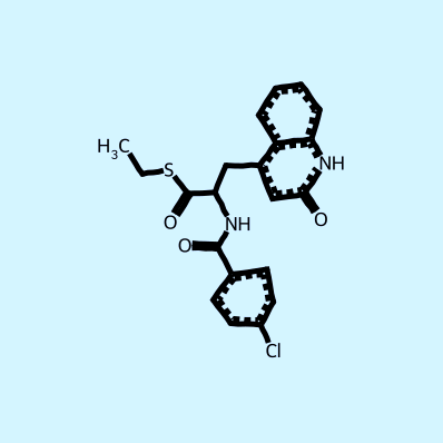 CCSC(=O)C(Cc1cc(=O)[nH]c2ccccc12)NC(=O)c1ccc(Cl)cc1